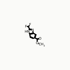 COC(=O)c1ccc2[nH]c(C(F)F)nc2c1